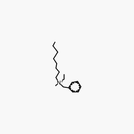 CCCCCCCC[N+](C)(CC)Cc1ccccc1